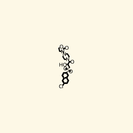 O=C([C@H](O)CS(=O)(=O)c1ccc2cc(Cl)ccc2c1)N1CCN(N2CCOC2=O)CC1